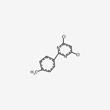 Cc1ccc(-c2nc(Cl)cc(Cl)n2)cc1